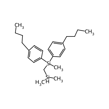 CCCCc1ccc([Si](C)(C[SiH](C)C)c2ccc(CCCC)cc2)cc1